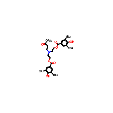 COC(=O)CCN(CCOC(=O)c1cc(C(C)(C)C)c(O)c(C(C)(C)C)c1)CCOC(=O)c1cc(C(C)(C)C)c(O)c(C(C)(C)C)c1